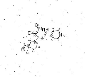 O=c1[nH]c(-c2ccncc2)nc(N2CCC3(COC3)C2)c1Cl